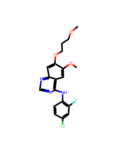 COCCCOc1cc2ncnc(Nc3ccc(Cl)cc3F)c2cc1OC